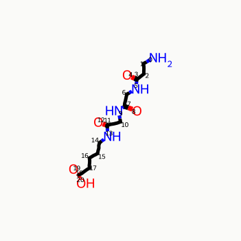 NCCC(=O)NCC(=O)NCC(=O)NCCCCC(=O)O